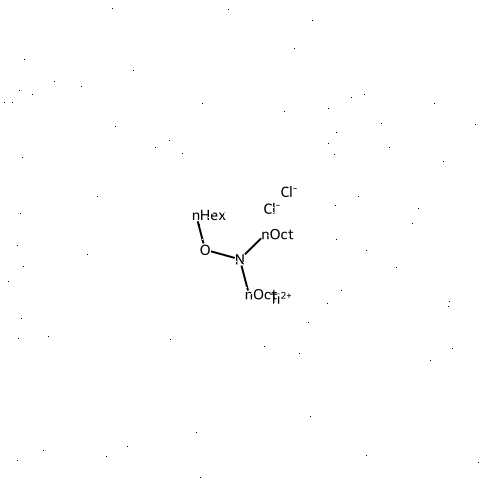 CCCCCCCCN(CCCCCCCC)OCCCCCC.[Cl-].[Cl-].[Ti+2]